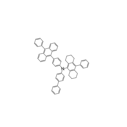 c1ccc(-c2ccc(N(c3ccc(-c4c5ccccc5c(-c5ccccc5)c5ccccc45)cc3)c3c4c(c(-c5ccccc5)c5c3CCCC5)CCCC4)cc2)cc1